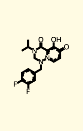 CC(C)N1CN(Cc2ccc(F)c(F)c2)n2ccc(=O)c(O)c2C1=O